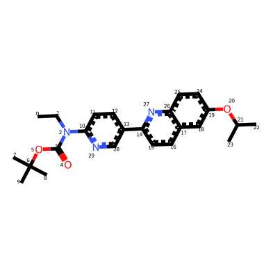 CCN(C(=O)OC(C)(C)C)c1ccc(-c2ccc3cc(OC(C)C)ccc3n2)cn1